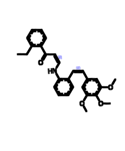 CCc1ccccc1C(=O)/C=C\Nc1ccccc1/C=C\c1cc(OC)c(OC)c(OC)c1